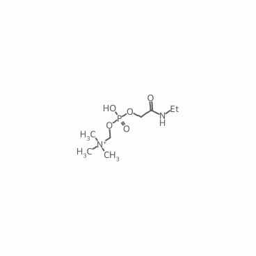 CCNC(=O)COP(=O)(O)OC[N+](C)(C)C